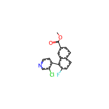 COC(=O)c1ccc2ccc(F)c(-c3ccncc3Cl)c2c1